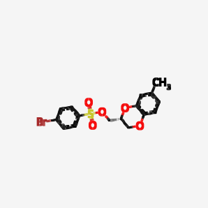 Cc1ccc2c(c1)O[C@@H](COS(=O)(=O)c1ccc(Br)cc1)CO2